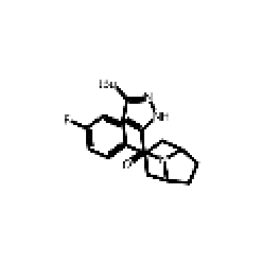 CC(C)(C)c1cc(C(=O)N2C3CCC2CC(c2ccc(F)cc2)C3)[nH]n1